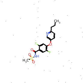 CCCc1ccc(Oc2cc(F)c(C(=O)NS(C)(=O)=O)cc2F)cn1